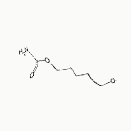 NC(=O)OCCCCC[O]